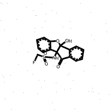 O=C1c2ccccc2C2(O)Oc3ccccc3C12NS(=O)(=O)CF